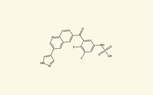 CCCS(=O)(=O)Nc1cc(F)c(F)c(C(=O)c2ccc3ncc(-c4cn[nH]c4)cc3c2)c1